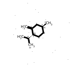 C=C1C[C@@H](C)CC[C@@H]1C(C)C